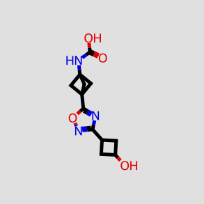 O=C(O)NC12CC(c3nc(C4CC(O)C4)no3)(C1)C2